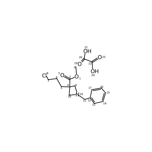 COC(=O)C1(CCCCl)CN(Cc2ccccc2)C1.O=C(O)C(=O)O